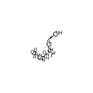 O=C(Nc1cn(C2CCN(CC#CC3CCNCC3)CC2)nc1C(F)F)c1cnn2ccc(N3C[C@H]4C[C@@H]3CO4)nc12